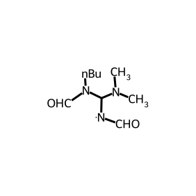 CCCCN(C=O)C([N]C=O)N(C)C